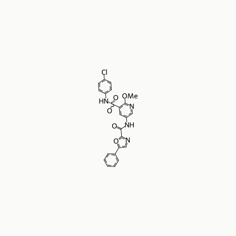 COc1ncc(NC(=O)c2ncc(-c3ccccc3)o2)cc1S(=O)(=O)Nc1ccc(Cl)cc1